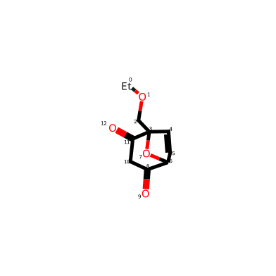 CCOCC12C=CC(O1)C(=O)CC2=O